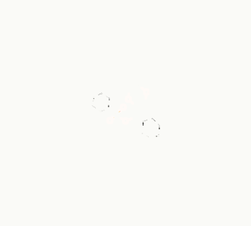 Cc1ccc(C(OS(=O)(=O)c2ccc(C)cc2)C2COCCO2)cc1